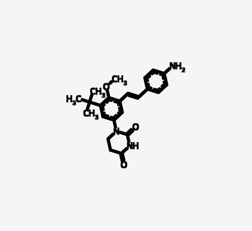 COc1c(/C=C/c2ccc(N)cc2)cc(N2CCC(=O)NC2=O)cc1C(C)(C)C